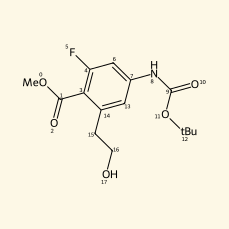 COC(=O)c1c(F)cc(NC(=O)OC(C)(C)C)cc1CCO